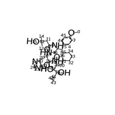 COc1ccc(CC(NC(=O)CC(C)(C)O)C(=O)N[C@@H](Cc2c[nH]cn2)C(=O)N[C@@H](CC2CCCCC2)[C@@H](O)[C@@H](O)C2CC2)cc1